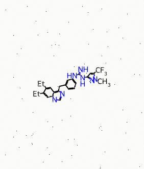 CCc1cc2ncnc(Cc3cccc(NC(=N)Nc4cc(C(F)(F)F)n(C)n4)c3)c2cc1CC